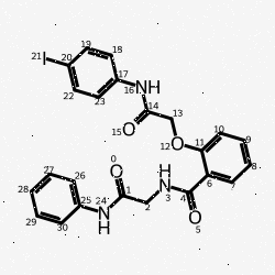 O=C(CNC(=O)c1ccccc1OCC(=O)Nc1ccc(I)cc1)Nc1ccccc1